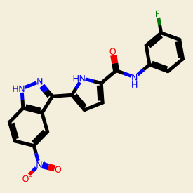 O=C(Nc1cccc(F)c1)c1ccc(-c2n[nH]c3ccc([N+](=O)[O-])cc23)[nH]1